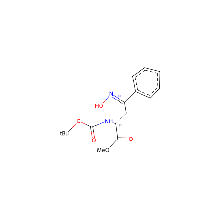 COC(=O)[C@@H](C/C(=N\O)c1ccccc1)NC(=O)OC(C)(C)C